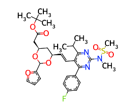 CC(C)c1nc(N(C)S(C)(=O)=O)nc(-c2ccc(F)cc2)c1/C=C/[C@@H]1C[C@H](CC(=O)OC(C)(C)C)OC(c2ccco2)O1